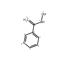 C=C(BO)c1cccnc1